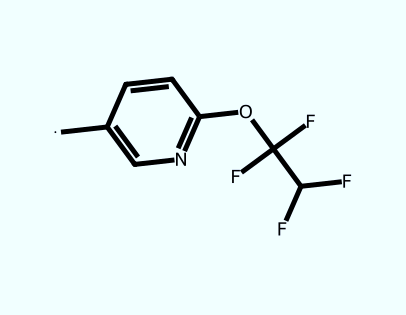 [CH2]c1ccc(OC(F)(F)C(F)F)nc1